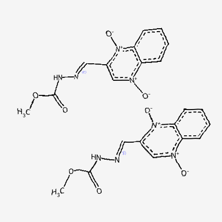 COC(=O)N/N=C/c1c[n+]([O-])c2ccccc2[n+]1[O-].COC(=O)N/N=C/c1c[n+]([O-])c2ccccc2[n+]1[O-]